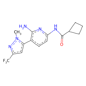 Cn1nc(C(F)(F)F)cc1-c1ccc(NC(=O)C2CCC2)nc1N